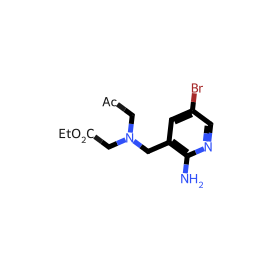 CCOC(=O)CN(CC(C)=O)Cc1cc(Br)cnc1N